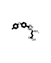 Cc1ccc(Oc2ccc(-c3nnn([C@H](N)CCC(=O)O)n3)cc2)cc1